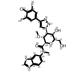 CO[C@@H]1[C@@H](n2cc(-c3cc(F)c(Cl)c(F)c3)nn2)[C@@H](O)[C@@H](CO)O[C@H]1C(=O)N(C)c1ccc2ncsc2c1